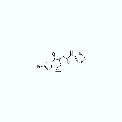 CC(C)c1cc2n(c1)C1(CC1)CN(CC(=O)Nc1ncccn1)C2=O